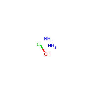 N.N.OCl